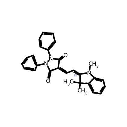 CN1/C(=C/C=C2C(=O)N(c3ccccc3)N(c3ccccc3)C2=O)C(C)(C)c2ccccc21